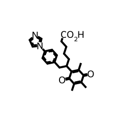 CC1=C(C)C(=O)C(C(CCCCC(=O)O)Cc2ccc(-n3ccnc3)cc2)=C(C)C1=O